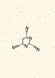 N#Cc1cc(C#N)nc(C#N)n1